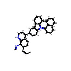 C=Nc1c(/C=C\C)ccc2c(-c3ccc4c(c3)c3cccc5c6cccc7cccc(c76)n4c53)ccnc12